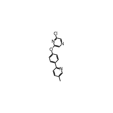 Cc1ccc(-c2ccc(Oc3cncc(Cl)n3)cc2)nc1